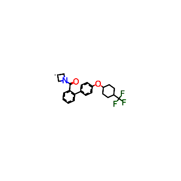 O=C(c1ccccc1-c1ccc(OC2CCC(C(F)(F)F)CC2)cc1)N1C[CH]C1